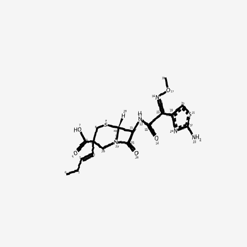 CCC=CC1(C(=O)O)CS[C@@H]2C(NC(=O)C(=NOC)c3csc(N)n3)C(=O)N2C1